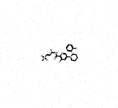 C[C@H](/C=C/S(C)(=O)=O)NC(=O)c1ncc(N2CCCC[C@H]2c2ccccc2F)cc1F